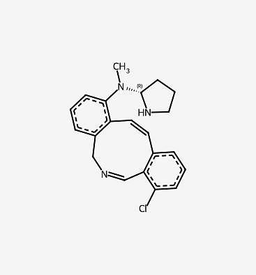 CN(c1cccc2c1C=Cc1cccc(Cl)c1C=NC2)[C@@H]1CCCN1